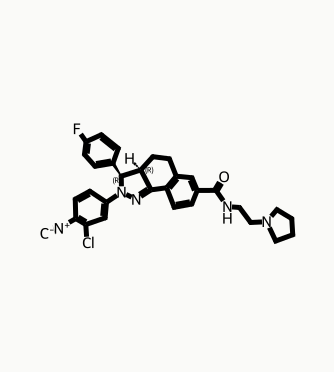 [C-]#[N+]c1ccc(N2N=C3c4ccc(C(=O)NCCN5CCCC5)cc4CC[C@@H]3[C@@H]2c2ccc(F)cc2)cc1Cl